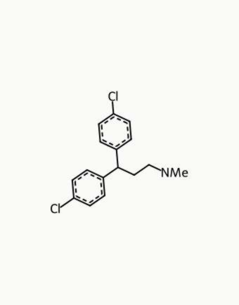 CNCCC(c1ccc(Cl)cc1)c1ccc(Cl)cc1